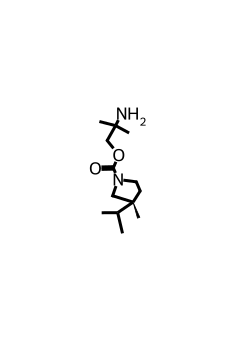 CC(C)[C@@]1(C)CCN(C(=O)OCC(C)(C)N)C1